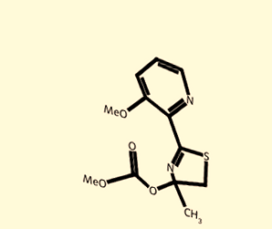 COC(=O)OC1(C)CSC(c2ncccc2OC)=N1